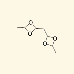 CC1OC(CC2OC(C)O2)O1